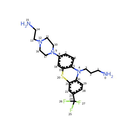 NCCCN1c2ccc(N3CCN(CCN)CC3)cc2Sc2cc(C(F)(F)F)ccc21